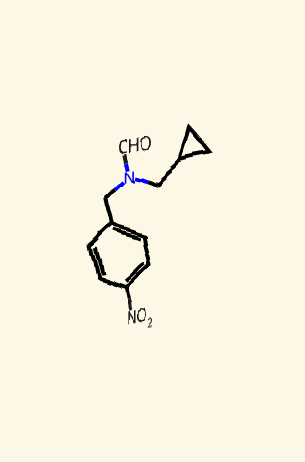 O=CN(Cc1ccc([N+](=O)[O-])cc1)CC1CC1